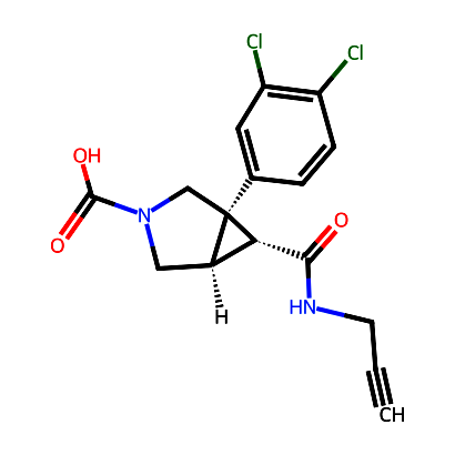 C#CCNC(=O)[C@@H]1[C@H]2CN(C(=O)O)C[C@]21c1ccc(Cl)c(Cl)c1